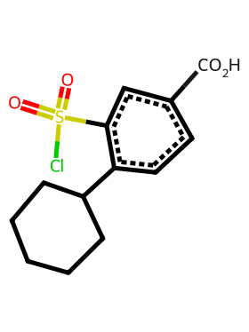 O=C(O)c1ccc(C2CCCCC2)c(S(=O)(=O)Cl)c1